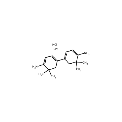 CC1(C)CC(C2=CC=C(N)C(C)(C)C2)=CC=C1N.Cl.Cl